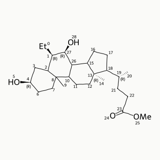 CC[C@@H]1C2C[C@H](O)CCC2(C)C2CC[C@@]3(C)C(CCC3[C@H](C)CCC(=O)OC)C2[C@@H]1O